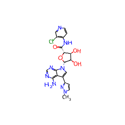 Cn1ccc(-c2cn([C@@H]3O[C@H](C(=O)Nc4ccncc4Cl)[C@@H](O)[C@H]3O)c3ncnc(N)c23)n1